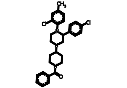 Cc1ccc(N2CCN(C3CCN(C(=O)c4ccccc4)CC3)CC2c2ccc(Cl)cc2)c(Cl)c1